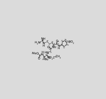 CC(=O)O.CCCC[C@@H](NC(=O)OC)C(=O)NCC(=O)N[C@@H](CCCNC(=N)N)C(=O)Nc1ccc([N+](=O)[O-])cc1